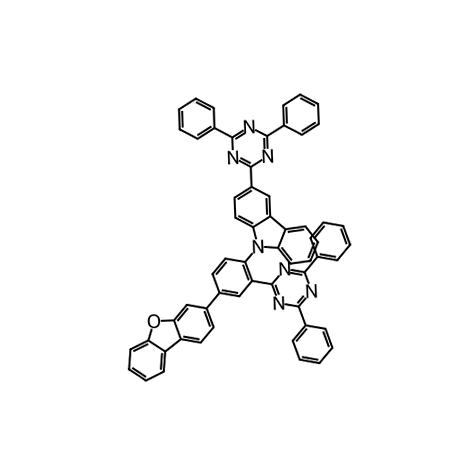 c1ccc(-c2nc(-c3ccccc3)nc(-c3ccc4c(c3)c3ccccc3n4-c3ccc(-c4ccc5c(c4)oc4ccccc45)cc3-c3nc(-c4ccccc4)nc(-c4ccccc4)n3)n2)cc1